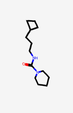 O=C(NCCCC1CCC1)N1CCCCC1